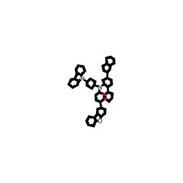 c1ccc(-c2ccc(-c3ccc4ccccc4c3)cc2N(c2ccc(-c3ccc4oc5ccccc5c4c3)cc2)c2ccc(-n3c4ccccc4c4ccccc43)cc2)cc1